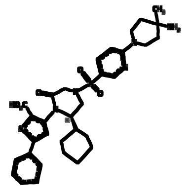 CC1(N)CCN(c2ccc(S(=O)(=O)N3CC(=O)N(c4cc(-c5ccccc5)sc4C(=O)O)[C@H](C4CCCCC4)C3)cn2)CC1